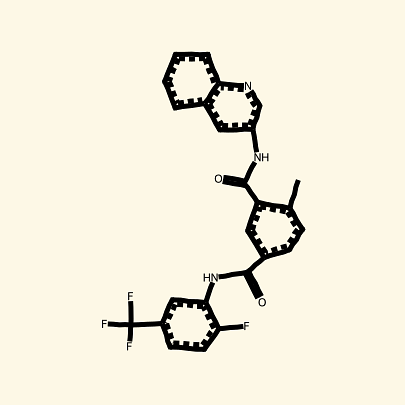 Cc1ccc(C(=O)Nc2cc(C(F)(F)F)ccc2F)cc1C(=O)Nc1cnc2ccccc2c1